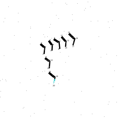 C=CC.C=CC.C=CC.C=CC.C=CC.C=CC.C=CF